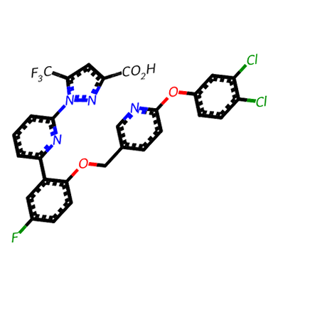 O=C(O)c1cc(C(F)(F)F)n(-c2cccc(-c3cc(F)ccc3OCc3ccc(Oc4ccc(Cl)c(Cl)c4)nc3)n2)n1